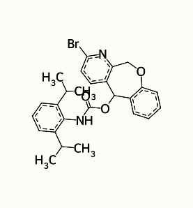 CC(C)c1cccc(C(C)C)c1NC(=O)OC1c2ccccc2OCc2nc(Br)ccc21